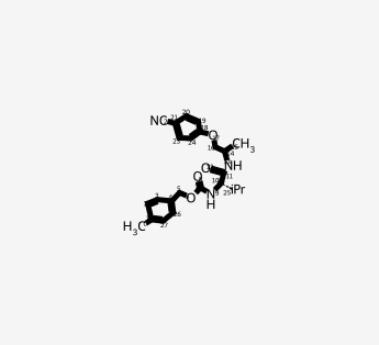 Cc1ccc(COC(=O)N[C@H](C(=O)NC(C)COc2ccc(C#N)cc2)C(C)C)cc1